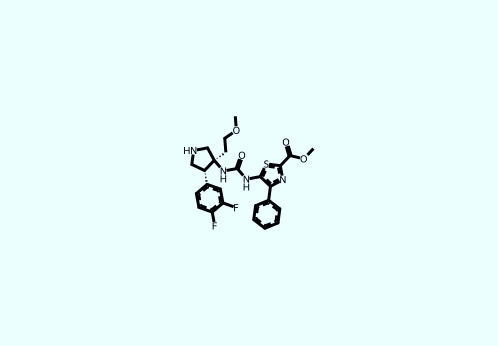 COCC[C@@]1(NC(=O)Nc2sc(C(=O)OC)nc2-c2ccccc2)CNC[C@H]1c1ccc(F)c(F)c1